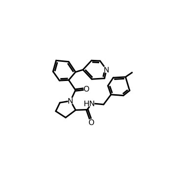 Cc1ccc(CNC(=O)C2CCCN2C(=O)c2ccccc2-c2ccncc2)cc1